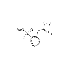 C=C(Cc1ccccc1S(=O)(=O)NC)C(=O)O